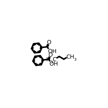 CCCC.O=C(O)c1ccccc1.O=C(O)c1ccccc1